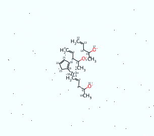 C=CCC(C)[O-].C=CCC(C)[O-].C=CCC(C)[O-].[Zr+3][C]1=CC=CC1